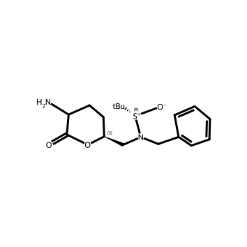 CC(C)(C)[S@+]([O-])N(Cc1ccccc1)C[C@@H]1CCC(N)C(=O)O1